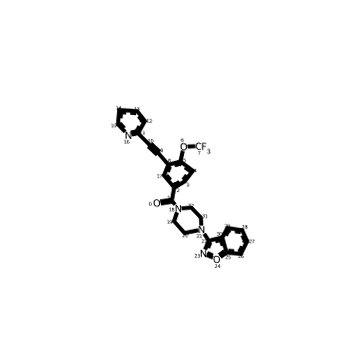 O=C(c1ccc(OC(F)(F)F)c(C#Cc2ccccn2)c1)N1CCN(c2noc3ccccc23)CC1